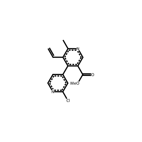 C=Cc1c(C)ncc(C(=O)OC)c1-c1ccnc(Cl)c1